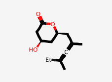 CCC(C)=C=C(C)C[C@H]1C[C@@H](O)CC(=O)O1